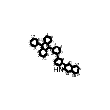 C1=C(c2cccc(-c3c4ccccc4c(-c4ccccc4)c4ccccc34)c2)CC2C(=C1)Nc1cc3ccccc3cc12